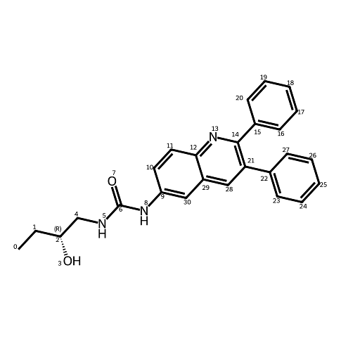 CC[C@@H](O)CNC(=O)Nc1ccc2nc(-c3ccccc3)c(-c3ccccc3)cc2c1